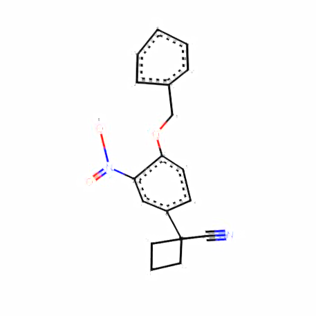 N#CC1(c2ccc(OCc3ccccc3)c([N+](=O)[O-])c2)CCC1